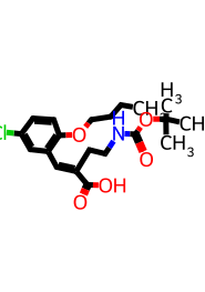 CCCCOc1ccc(Cl)cc1C=C(CCNC(=O)OC(C)(C)C)C(=O)O